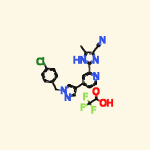 Cc1[nH]c(-c2cc(-c3cnn(Cc4ccc(Cl)cc4)c3)ccn2)nc1C#N.O=C(O)C(F)(F)F